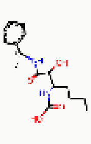 CCCCC(NC(=O)O)C(O)C(=O)N[C@H](C)c1ccccc1